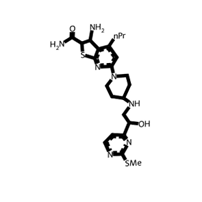 CCCc1cc(N2CCC(NCC(O)c3ccnc(SC)n3)CC2)nc2c1C(N)C(C(N)=O)S2